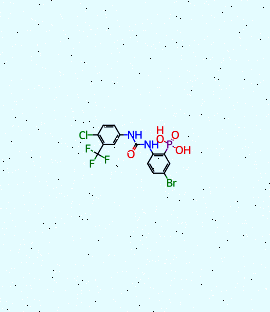 O=C(Nc1ccc(Cl)c(C(F)(F)F)c1)Nc1ccc(Br)cc1P(=O)(O)O